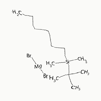 [Br][Mg][Br].[CH2]CCCCC[Si](C)(C)C(C)(C)C